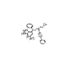 COCCN(CCC(c1ccccc1)c1cc(N)nc2[nH]nnc12)C12CCC(c3ccccc3)(CC1)CC2